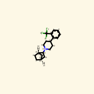 FC(F)(F)c1ccccc1C1CCN(C2C[C@H]3CC[C@H]2C3)CC1